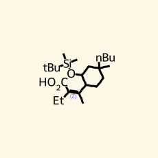 CCCCC1(C)CCC(/C(C)=C(/CC)C(=O)O)C(O[Si](C)(C)C(C)(C)C)C1